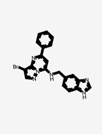 Brc1cnn2c(NCc3ccc4[nH]cnc4c3)cc(-c3ccccc3)nc12